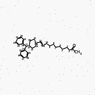 CC(=O)CCCCCCCC/N=C/N1CCC(C(c2ccccc2)c2ccccc2)CC1